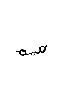 Cc1ccc(CCOCCc2ccc(C)cc2)cc1